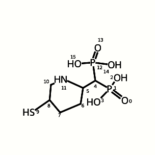 O=P(O)(O)C(C1CCC(S)CN1)P(=O)(O)O